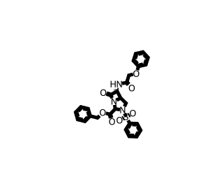 O=C(COc1ccccc1)N[C@H]1C(=O)N2C1CN(S(=O)(=O)c1ccccc1)C2C(=O)OCc1ccccc1